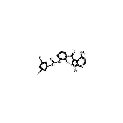 Cc1c(NC(=O)Nc2cc(F)cc(F)c2)cccc1C(=O)c1cn(C(C)C)c2ncnc(N)c12